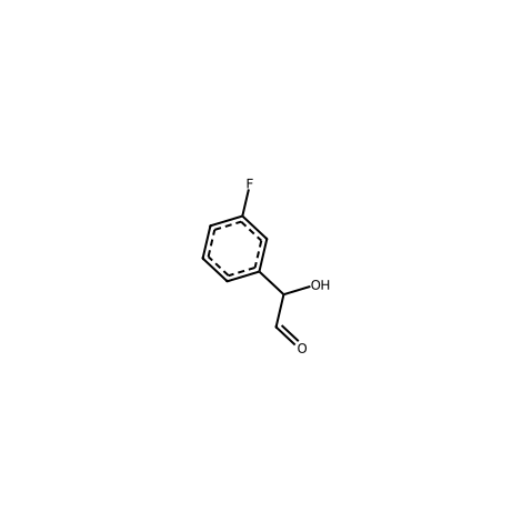 O=CC(O)c1cccc(F)c1